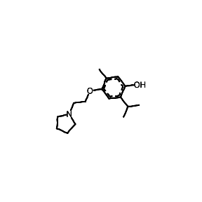 Cc1cc(O)c(C(C)C)cc1OCCN1CCCC1